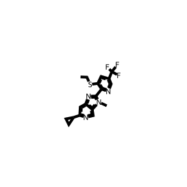 CCSc1cc(C(F)(F)F)cnc1-c1nc2cc(C3CC3)ncc2n1C